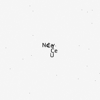 [Ce].[Ce].[Nd].[U].[Y]